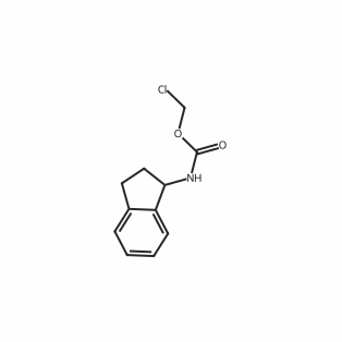 O=C(NC1CCc2ccccc21)OCCl